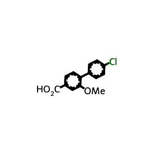 COc1cc(C(=O)O)ccc1-c1ccc(Cl)cc1